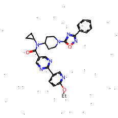 CCOc1ccc(-c2ncc(C(=O)N(C3CC3)C3CCN(c4nc(-c5ccccc5)no4)CC3)cn2)cn1